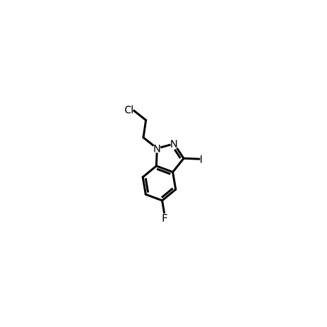 Fc1ccc2c(c1)c(I)nn2CCCl